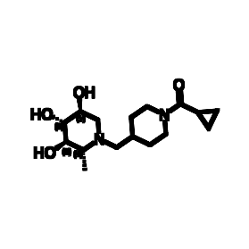 C[C@@H]1[C@@H](O)[C@H](O)[C@@H](O)CN1CC1CCN(C(=O)C2CC2)CC1